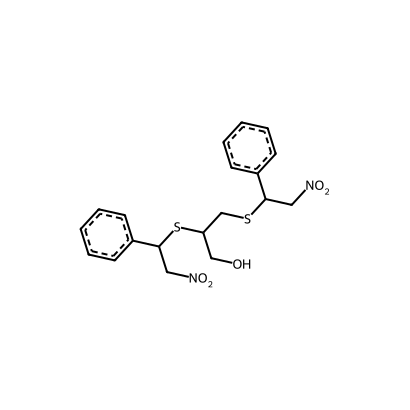 O=[N+]([O-])CC(SCC(CO)SC(C[N+](=O)[O-])c1ccccc1)c1ccccc1